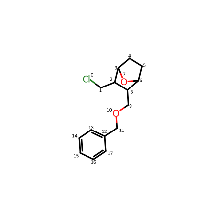 ClCC1C2CCC(O2)C1COCc1ccccc1